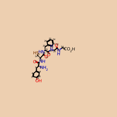 N[C@@H](Cc1ccc(O)cc1)C(=O)N[C@@H](CS)C(=O)N[C@@H](Cc1ccccc1)C(=O)NCC(=O)NCC(=O)O